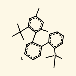 Cc1cc(C)c(-c2ccccc2-c2ccccc2[Si](C)(C)C)c(C(C)(C)C)c1.[Li]